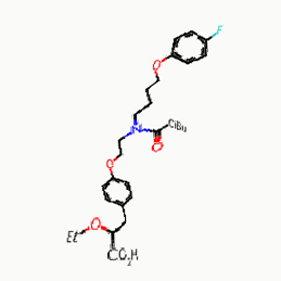 CCOC(Cc1ccc(OCCN(CCCCOc2ccc(F)cc2)C(=O)OCC(C)C)cc1)C(=O)O